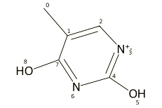 CC1=C[N+]=C(O)N=C1O